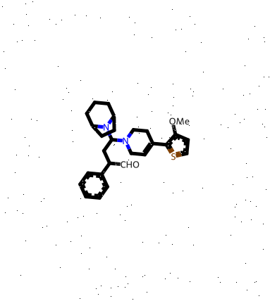 COc1ccsc1C1=CCN(C(CC(C=O)c2ccccc2)N2C3CCCC2CC3)CC1